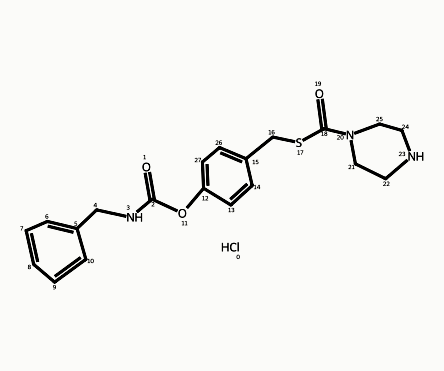 Cl.O=C(NCc1ccccc1)Oc1ccc(CSC(=O)N2CCNCC2)cc1